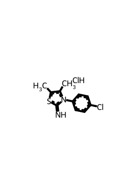 Cc1sc(=N)n(-c2ccc(Cl)cc2)c1C.Cl